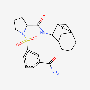 NC(=O)c1cccc(S(=O)(=O)N2CCCC2C(=O)NC2C3CCCC4(C3)CC2C4)c1